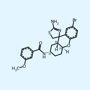 COc1cccc(C(=O)N[C@H]2CC[C@@H]3Oc4ccc(Br)cc4C4(CSC(N)=N4)[C@H]3C2)c1